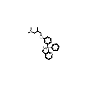 CC(COc1cccc([N+]2(c3ccccc3)N=Cc3cccnc32)c1)CN(C)C